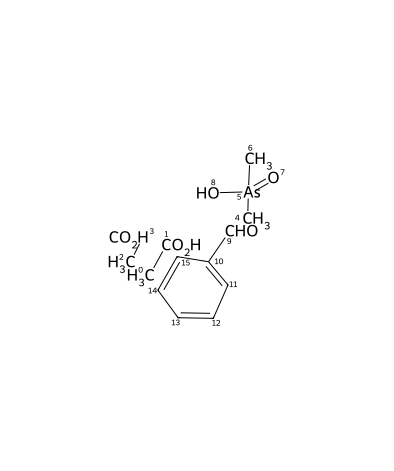 CC(=O)O.CC(=O)O.C[As](C)(=O)O.O=Cc1ccccc1